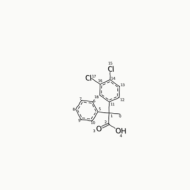 CC(C(=O)O)(c1ccccc1)c1ccc(Cl)c(Cl)c1